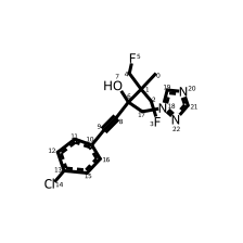 CC(CF)(CF)C(O)(C#Cc1ccc(Cl)cc1)Cn1cncn1